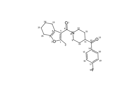 Cc1oc2c(c1C(=O)N1CCC(C(=O)c3ccc(F)cc3)CC1)CCCC2